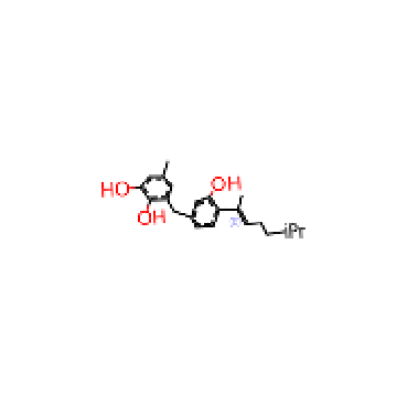 C/C(=C\CCC(C)C)c1ccc(Cc2cc(C)cc(O)c2O)cc1O